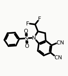 N#Cc1ccc2c(c1C#N)CC(C(F)F)N2S(=O)(=O)c1ccccc1